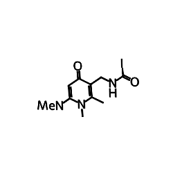 CNc1cc(=O)c(CNC(=O)I)c(C)n1C